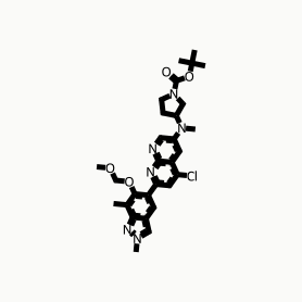 COCOc1c(-c2cc(Cl)c3cc(N(C)C4CCN(C(=O)OC(C)(C)C)C4)cnc3n2)cc2cn(C)nc2c1C